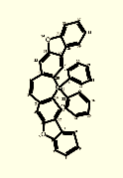 C1=Cc2cc3oc4ccccc4c3cc2[Si](c2ccccc2)(c2ccccc2)c2cc3c(cc21)oc1ccccc13